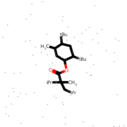 CC(C)CC(C)(C(=O)OC1CC(C)C(C(C)(C)C)CC1C(C)(C)C)C(C)C